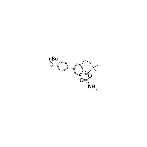 CCCCOc1ccc(-c2ccc3c(c2)CCC(C)(C)[C@H]3OC(N)=O)cc1